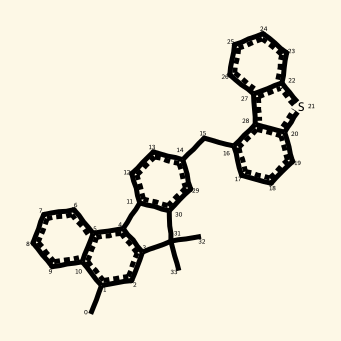 Cc1cc2c(c3ccccc13)-c1ccc(Cc3cccc4sc5ccccc5c34)cc1C2(C)C